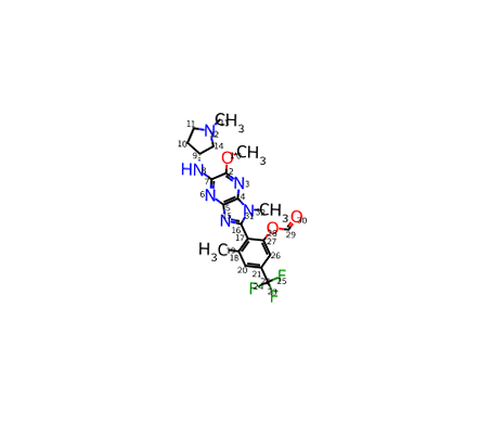 COc1nc2c(nc1N[C@@H]1CCN(C)C1)nc(-c1c(C)cc(C(F)(F)F)cc1OC=O)n2C